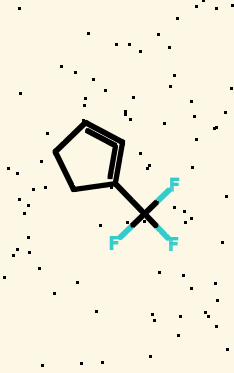 FC(F)(F)C1=C=CCC1